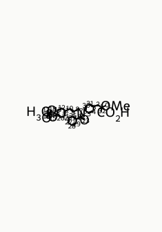 COC(Cc1ccc(N(C/C=C/c2ccc(OS(C)(=O)=O)cc2)C(=O)c2ccccc2)cc1)C(=O)O